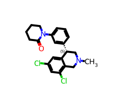 CN1Cc2c(Cl)cc(Cl)cc2[C@H](c2cccc(N3CCCCC3=O)c2)C1